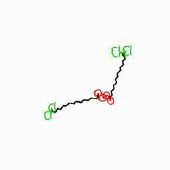 O=C(CCCCCCCCCCCCCC(Cl)Cl)OOC(=O)CCCCCCCCCCCCCC(Cl)Cl